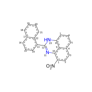 O=[N+]([O-])c1ccc2cccc3c2c1N=C(c1cccc2ccccc12)N3